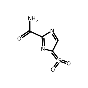 NC(=O)C1=NC(=S(=O)=O)C=N1